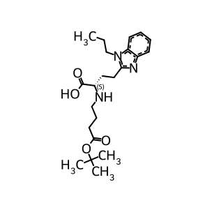 CCCn1c(CC[C@H](NCCCC(=O)OC(C)(C)C)C(=O)O)nc2ccccc21